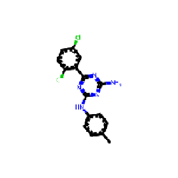 Cc1ccc(Nc2nc(N)nc(-c3cc(Cl)ccc3Cl)n2)cc1